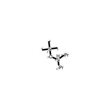 CC(C)[SiH](O[Si](C)(C)C)C(C)C